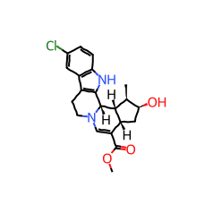 COC(=O)C1=CN2CCc3c([nH]c4ccc(Cl)cc34)[C@@H]2[C@@H]2[C@@H](C)[C@@H](O)C[C@H]12